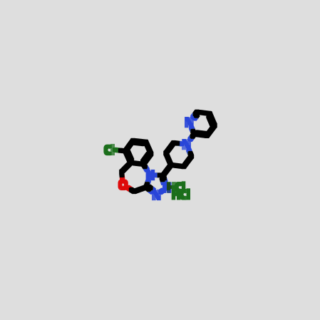 Cl.Cl.Clc1cccc2c1COCc1nnc(C3CCN(c4ccccn4)CC3)n1-2